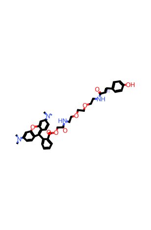 CN(C)c1ccc2c(-c3ccccc3C(=O)OCC(=O)NCCOCCOCCNC(=O)/C=C/c3ccc(O)cc3)c3ccc(=[N+](C)C)cc-3oc2c1